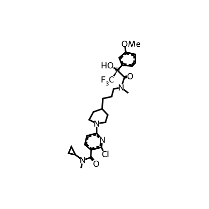 COc1cccc([C@@](O)(C(=O)N(C)CCCC2CCN(c3ccc(C(=O)N(C)C4CC4)c(Cl)n3)CC2)C(F)(F)F)c1